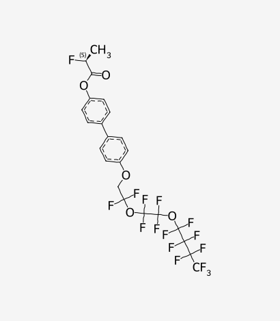 C[C@H](F)C(=O)Oc1ccc(-c2ccc(OCC(F)(F)OC(F)(F)C(F)(F)OC(F)(F)C(F)(F)C(F)(F)C(F)(F)F)cc2)cc1